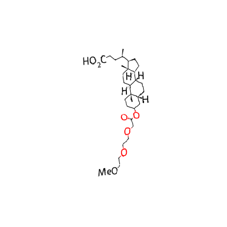 COCCOCCOCC(=O)O[C@H]1CC[C@@]2(C)[C@H](CC[C@@H]3[C@@H]2CC[C@]2(C)[C@@H]([C@H](C)CCC(=O)O)CC[C@@H]32)C1